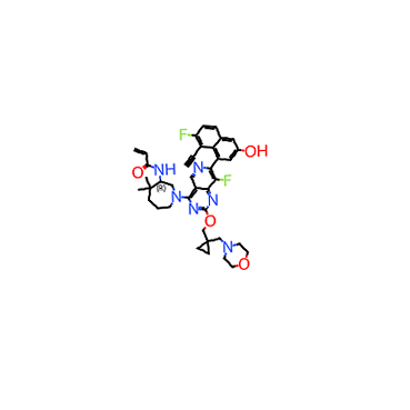 C#Cc1c(F)ccc2cc(O)cc(-c3ncc4c(N5CCCC(C)(C)[C@@H](NC(=O)C=C)C5)nc(OCC5(CN6CCOCC6)CC5)nc4c3F)c12